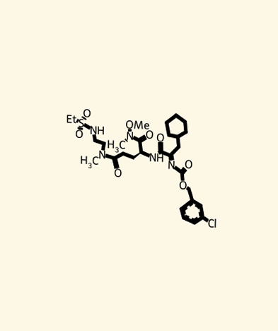 CCS(=O)(=O)NCCN(C)C(=O)CC[C@H](NC(=O)/C(CC1CCCCC1)=N/C(=O)OCc1cccc(Cl)c1)C(=O)N(C)OC